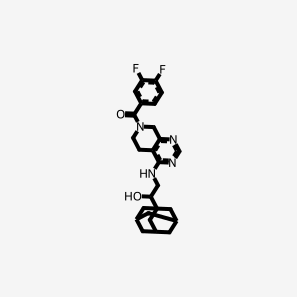 O=C(c1ccc(F)c(F)c1)N1CCc2c(ncnc2NCC(O)C23CC4CC(CC(C4)C2)C3)C1